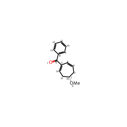 CO[C@H]1CC=CC(C(=O)c2ccccc2)=CC1